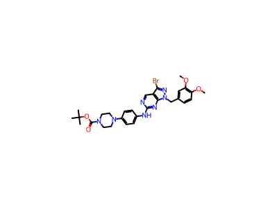 COc1ccc(Cn2nc(Br)c3cnc(Nc4ccc(N5CCN(C(=O)OC(C)(C)C)CC5)cc4)nc32)cc1OC